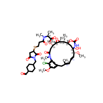 COc1cc2cc(c1Cl)N(C)C(=O)C[C@H](OC(=O)[C@H](C)N(C)C(=O)CCSC1CC(=O)N(CC3CCC(C=O)CC3)C1=O)[C@]1(C)O[C@H]1[C@H](C)[C@@H]1C[C@@](O)(NC(=O)O1)[C@H](OC)/C=C/C=C(\C)C2